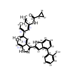 C=C/C(=C\C(=C/C)C(=C)/C=c1/c(-c2cc3c(-c4ccccc4F)cccc3[nH]2)n[nH]/c1=C/C)NC(=O)C1CC1